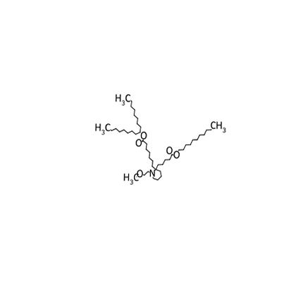 CCCCCCCCCCCOC(=O)CCCCC1(CCCCCCC(=O)OC(CCCCCCCC)CCCCCCCC)CCCCN1CCOC